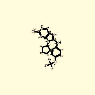 FC(F)(F)Oc1ccc(Nc2nc3cnc(Cl)nc3n2C2CCCC2)cc1